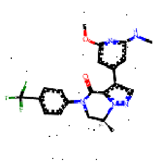 CNc1cc(-c2cnn3c2C(=O)N(c2ccc(C(F)(F)F)cc2)C[C@@H]3C)cc(OC)n1